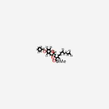 COC(=O)C(C(=O)CC1(C)CCc2c(C)c(OCc3ccccc3)c(C)c(C)c2O1)C(C)C=CCC(C)CCC=C(C)C